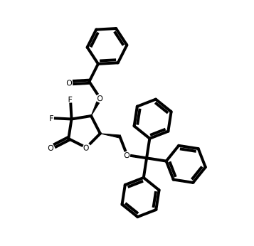 O=C(O[C@H]1[C@@H](COC(c2ccccc2)(c2ccccc2)c2ccccc2)OC(=O)C1(F)F)c1ccccc1